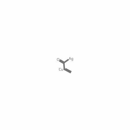 C=C[C](=O)[Ag].[Cu]